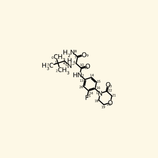 CC(C)(C)CN[C@H](C(N)=O)C(=O)Nc1ccc(N2CCOCC2=O)c(F)c1